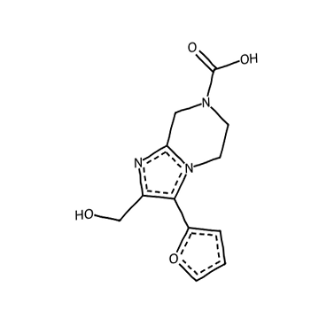 O=C(O)N1CCn2c(nc(CO)c2-c2ccco2)C1